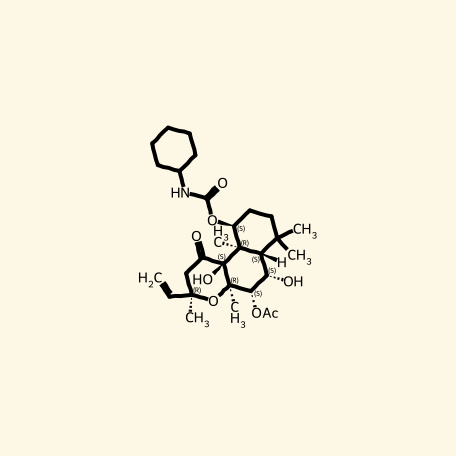 C=C[C@@]1(C)CC(=O)[C@]2(O)[C@@]3(C)[C@@H](OC(=O)NC4CCCCC4)CCC(C)(C)[C@@H]3[C@H](O)[C@H](OC(C)=O)[C@@]2(C)O1